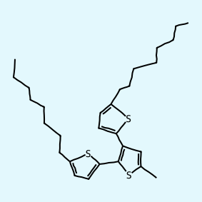 CCCCCCCCc1ccc(-c2cc(C)sc2-c2ccc(CCCCCCCC)s2)s1